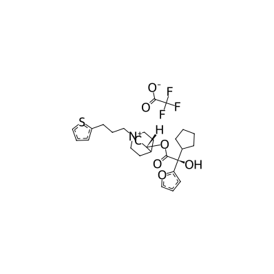 O=C(O[C@H]1C[N+]2(CCCc3cccs3)CCC1CC2)[C@@](O)(c1ccco1)C1CCCC1.O=C([O-])C(F)(F)F